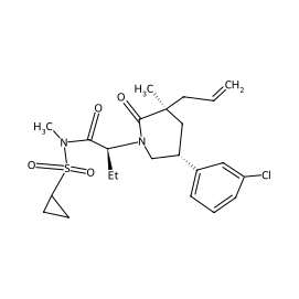 C=CC[C@@]1(C)C[C@H](c2cccc(Cl)c2)CN([C@@H](CC)C(=O)N(C)S(=O)(=O)C2CC2)C1=O